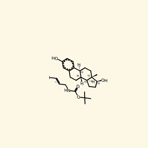 CC(C)(C)OC(=O)NC/C=C/I.C[C@]12CC[C@@H]3c4ccc(O)cc4CC[C@H]3[C@@H]1CC[C@@H]2O